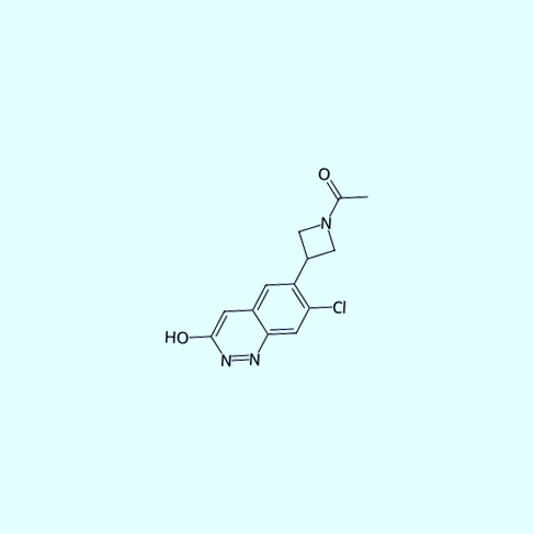 CC(=O)N1CC(c2cc3cc(O)nnc3cc2Cl)C1